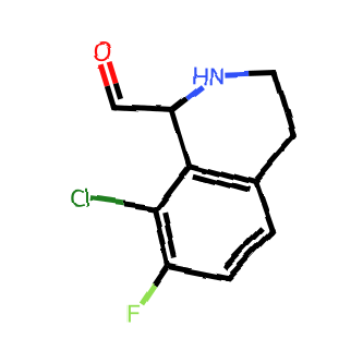 O=CC1NCCc2ccc(F)c(Cl)c21